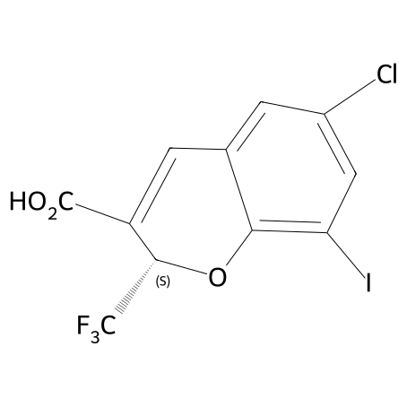 O=C(O)C1=Cc2cc(Cl)cc(I)c2O[C@@H]1C(F)(F)F